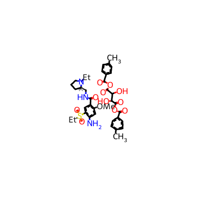 CCN1CCC[C@@H]1CNC(=O)c1cc(S(=O)(=O)CC)c(N)cc1OC.Cc1ccc(C(=O)OC(=O)C(O)C(O)C(=O)OC(=O)c2ccc(C)cc2)cc1